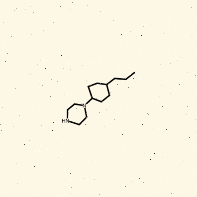 CCCC1CCC(N2CCNCC2)CC1